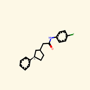 O=C(CC1CC[C@@H](c2ccccc2)C1)Nc1ccc(F)cc1